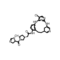 CN1C=NCC1C(=O)N1CC[C@@H](CC(=O)Nc2ccc3cc2CCC2C=NC=C(C2)Nc2ncc(Cl)c(n2)N3)C1